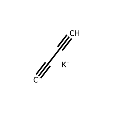 [C-]#CC#C.[K+]